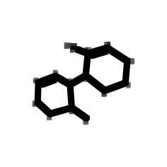 CC1CCC=CC1C1CCCC=C1F